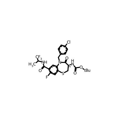 CC(NC(=O)c1cc2c(cc1F)SC[C@H](NC(=O)OC(C)(C)C)C(=O)N2Cc1ccc(Cl)cc1)C(F)(F)F